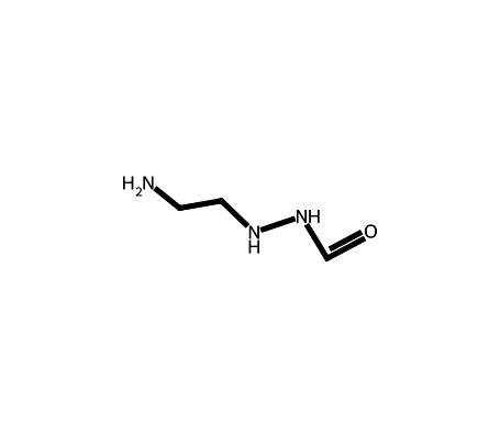 NCCNNC=O